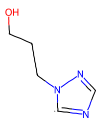 OCCCn1[c]ncn1